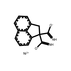 N=C([O-])C1(C(=N)[O-])Cc2cccc3cccc1c23.[Ni+2]